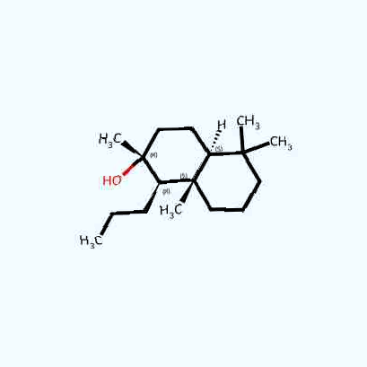 CCC[C@@H]1[C@@]2(C)CCCC(C)(C)[C@@H]2CC[C@@]1(C)O